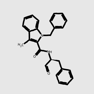 Cc1c(C(=O)N[C@H](C=O)Cc2ccccc2)n(Cc2ccccc2)c2ccccc12